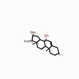 CC(=O)O[C@@H]1CC2C3C(CC[C@]2(C)[C@H]1OC(C)=O)[C@@]1(C)CC[C@@H](C)CC1=C[C@H]3O